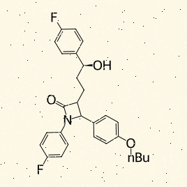 CCCCOc1ccc(C2C(CC[C@H](O)c3ccc(F)cc3)C(=O)N2c2ccc(F)cc2)cc1